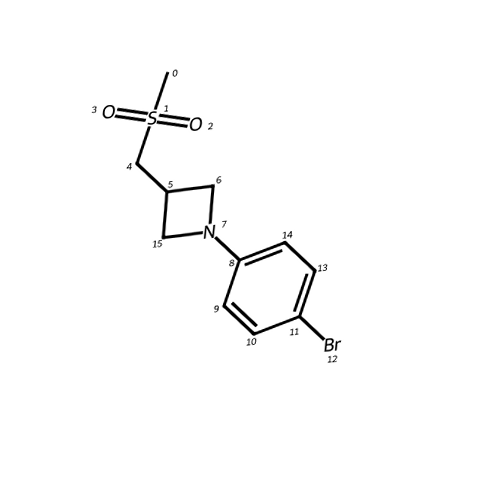 CS(=O)(=O)CC1CN(c2ccc(Br)cc2)C1